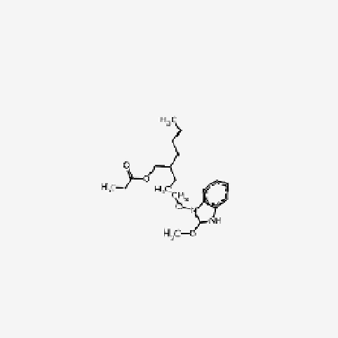 CCCCC(CC)COC(=O)CC.COC1Nc2ccccc2N1OC